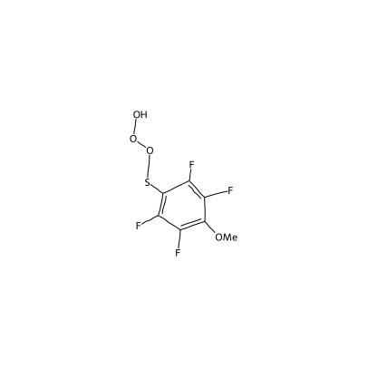 COc1c(F)c(F)c(SOOO)c(F)c1F